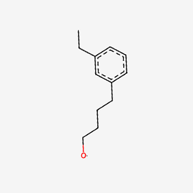 CCc1cccc(CCCC[O])c1